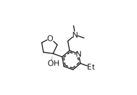 CCc1ccc([C@@]2(O)CCOC2)c(CN(C)C)n1